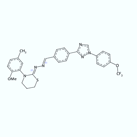 COc1ccc(C)cc1N1CCCS/C1=N\N=C\c1ccc(-c2ncn(-c3ccc(OC(F)(F)F)cc3)n2)cc1